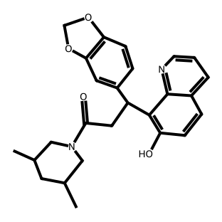 CC1CC(C)CN(C(=O)CC(c2ccc3c(c2)OCO3)c2c(O)ccc3cccnc23)C1